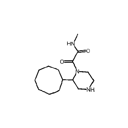 CNC(=O)C(=O)N1CCNCC1C1CCCCCCC1